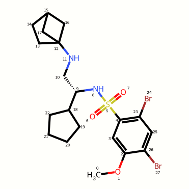 COc1cc(S(=O)(=O)N[C@@H](CNC23CCC(C2)C3)C2CCCC2)c(Br)cc1Br